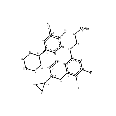 COCCCc1cc(F)c(F)c(CN(C(=O)[C@@H]2CNCC[C@H]2c2ccn(C)c(=O)c2)C2CC2)c1